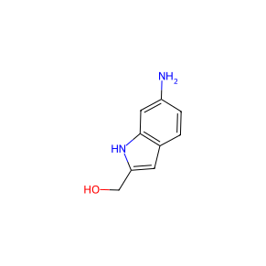 Nc1ccc2cc(CO)[nH]c2c1